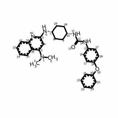 CN(C)c1cc(N[C@H]2CC[C@@H](NC(=O)Nc3ccc(Oc4ccccc4)cc3)CC2)nc2ccccc12